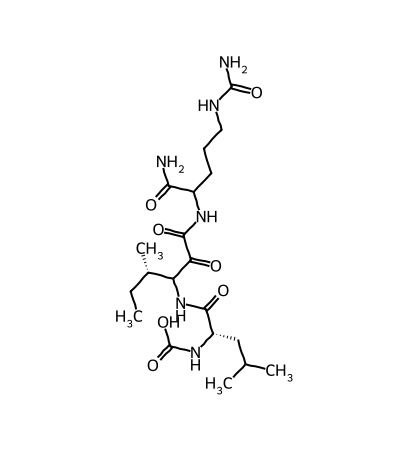 CC[C@H](C)C(NC(=O)[C@H](CC(C)C)NC(=O)O)C(=O)C(=O)NC(CCCNC(N)=O)C(N)=O